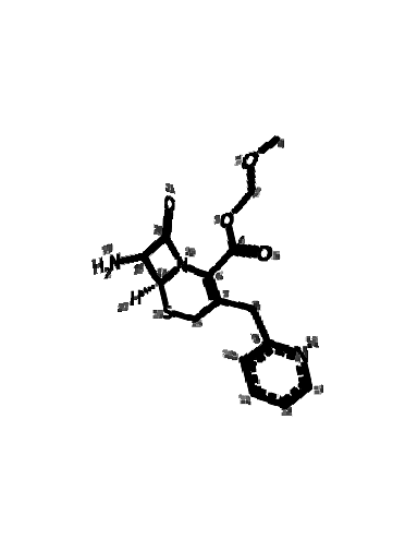 COCOC(=O)C1=C(Cc2ccccn2)CS[C@H]2C(N)C(=O)N12